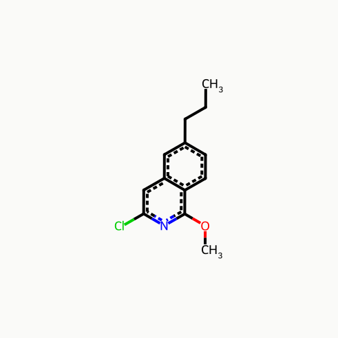 CCCc1ccc2c(OC)nc(Cl)cc2c1